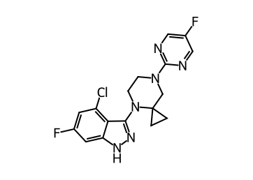 Fc1cnc(N2CCN(c3n[nH]c4cc(F)cc(Cl)c34)C3(CC3)C2)nc1